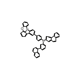 c1cc(-c2cccc3ccccc23)cc(N(c2ccc(-c3ccc4c(c3)c3cccc5c3n4-c3ccccc3O5)cc2)c2ccc3c(ccc4ccccc43)c2)c1